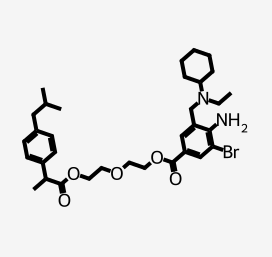 CCN(Cc1cc(C(=O)OCCOCCOC(=O)C(C)c2ccc(CC(C)C)cc2)cc(Br)c1N)C1CCCCC1